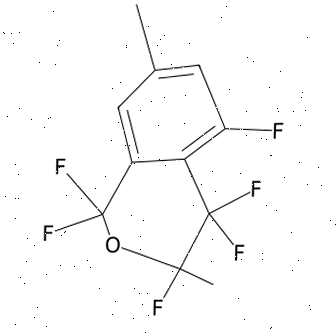 Cc1cc(F)c2c(c1)C(F)(F)OC(C)(F)C2(F)F